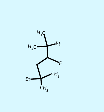 CCC(C)(C)CC(F)C(C)(C)CC